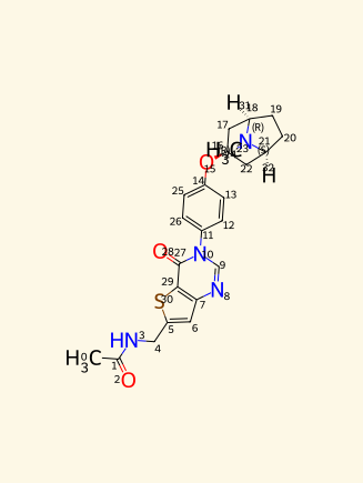 CC(=O)NCc1cc2ncn(-c3ccc(O[C@H]4C[C@H]5CC[C@@H](C4)N5C)cc3)c(=O)c2s1